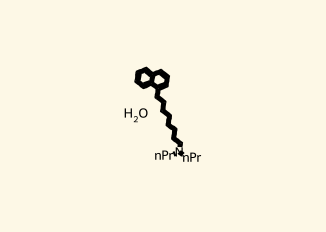 CCCN(CCC)CCCCCCCCc1cccc2ccccc12.O